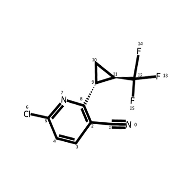 N#Cc1ccc(Cl)nc1[C@@H]1C[C@H]1C(F)(F)F